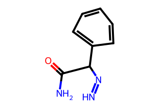 N=NC(C(N)=O)c1ccccc1